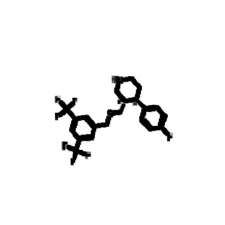 Fc1ccc([C@@H]2CCNC[C@H]2CSCc2cc(C(F)(F)F)cc(C(F)(F)F)c2)cc1